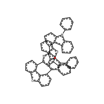 c1ccc(-c2nc(-c3cccc4oc5cccc(-c6nc(-c7ccccc7)c7sc8ccccc8c7n6)c5c34)nc(-c3cccc4c3c3ccccc3n4-c3ccccc3)n2)cc1